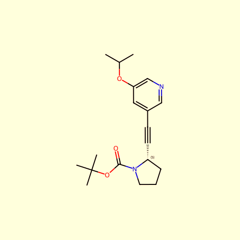 CC(C)Oc1cncc(C#C[C@@H]2CCCN2C(=O)OC(C)(C)C)c1